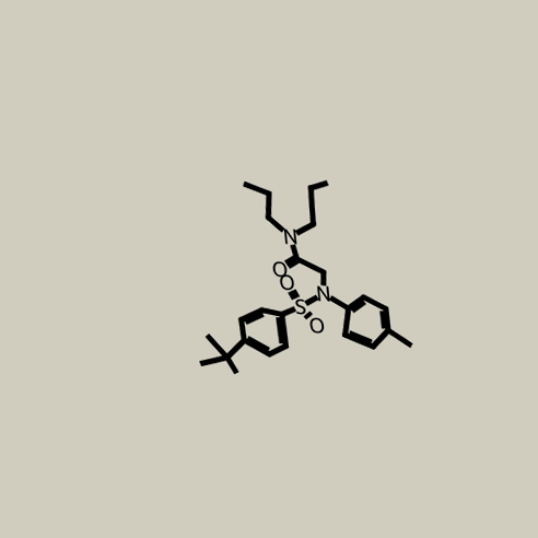 CCCN(CCC)C(=O)CN(c1ccc(C)cc1)S(=O)(=O)c1ccc(C(C)(C)C)cc1